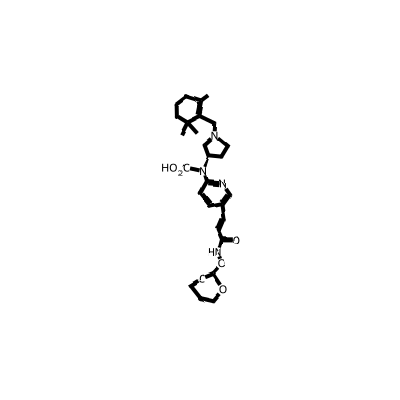 CC1=C(CN2CC[C@@H](N(C(=O)O)c3ccc(/C=C/C(=O)NOC4CCCCO4)cn3)C2)C(C)(C)CCC1